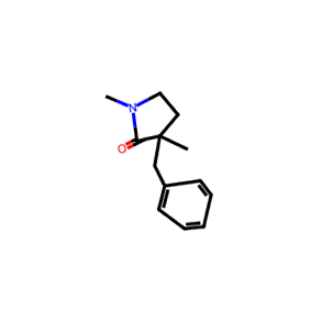 CN1CCC(C)(Cc2ccccc2)C1=O